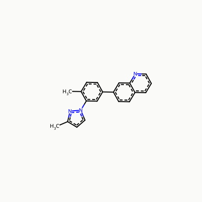 Cc1ccn(-c2cc(-c3ccc4cccnc4c3)ccc2C)n1